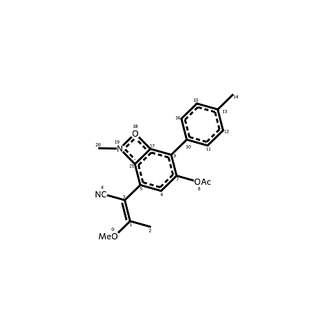 COC(C)=C(C#N)c1cc(OC(C)=O)c(-c2ccc(C)cc2)c2on(C)c12